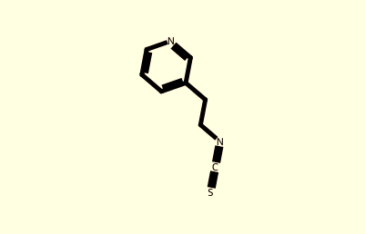 S=C=NCCc1cccnc1